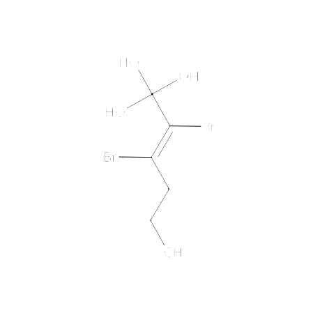 CCCC(Br)=C(Br)C(O)(O)O